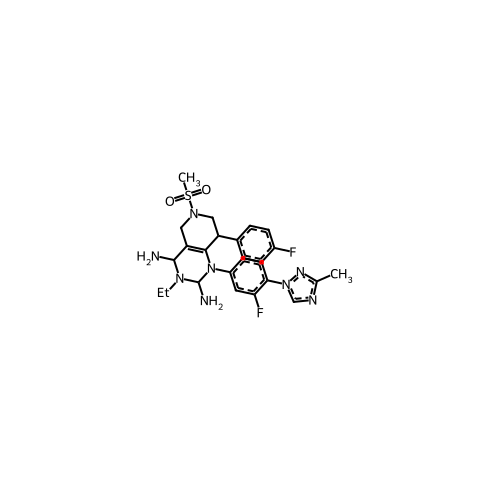 CCN1C(N)C2=C(C(c3ccc(F)cc3)CN(S(C)(=O)=O)C2)N(c2ccc(-n3cnc(C)n3)c(F)c2)C1N